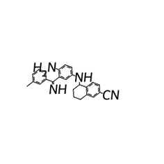 Cc1cccc(C(=N)c2cc(NC3CCCc4cc(C#N)ccc43)ccc2N)c1